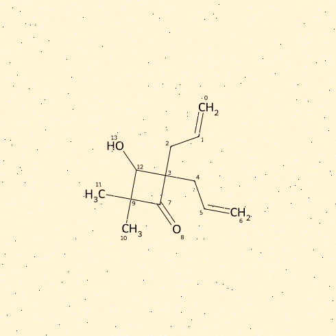 C=CCC1(CC=C)C(=O)C(C)(C)C1O